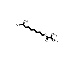 C=C(C)C(=O)OCCCCCCCC(O)CCC